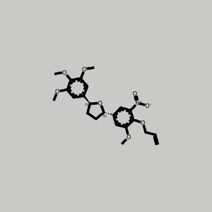 C=CCOc1c(OC)cc([C@@H]2CC[C@@H](c3cc(OC)c(OC)c(OC)c3)O2)cc1[N+](=O)[O-]